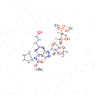 CCOP(=O)(OCC)C(C)(CO)OC[C@H]1O[C@@H](n2ncc3c(N(C(=O)OC(C)(C)C)C4CCCC4)nc(CCCO)nc32)[C@@H]2OC(C)(C)O[C@@H]21